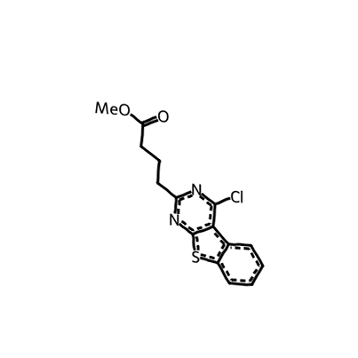 COC(=O)CCCc1nc(Cl)c2c(n1)sc1ccccc12